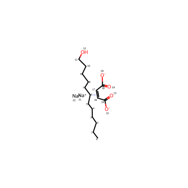 CCCCCCCCCCCCO.O=C([O-])/C=C\C(=O)[O-].[Na+].[Na+]